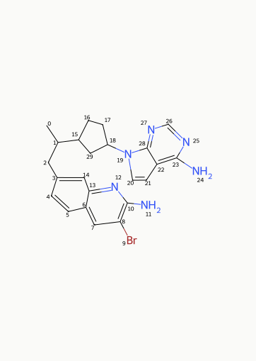 CC(Cc1ccc2cc(Br)c(N)nc2c1)C1CCC(n2ccc3c(N)ncnc32)C1